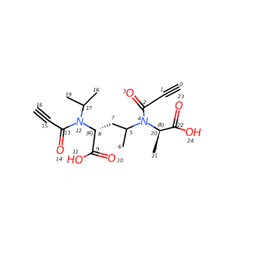 C#CC(=O)N(C(C)C[C@H](C(=O)O)N(C(=O)C#C)C(C)C)[C@H](C)C(=O)O